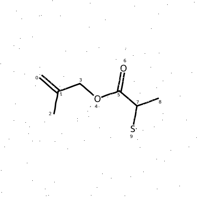 C=C(C)COC(=O)C(C)[S]